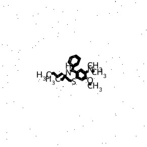 CCCC[C@]1(CC)CSc2cc(OC)c(N(C)C)cc2C(c2ccccc2)N1